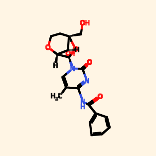 Cc1cn([C@@H]2O[C@@]3(CO)CCO[C@@H]2[C@@H]3O)c(=O)nc1NC(=O)c1ccccc1